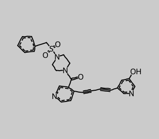 O=C(c1cnccc1C#CC#Cc1cncc(O)c1)N1CCN(S(=O)(=O)Cc2ccccc2)CC1